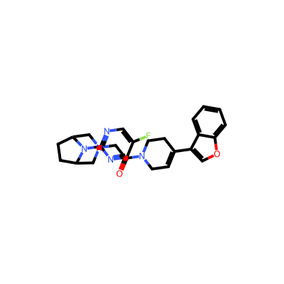 O=C(CN1CC2CCC(C1)N2c1ncc(F)cn1)N1CC=C(c2coc3ccccc23)CC1